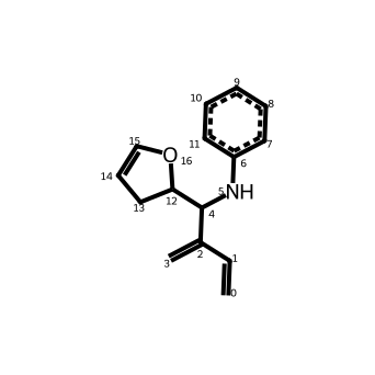 C=CC(=C)C(Nc1ccccc1)C1CC=CO1